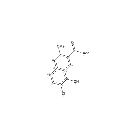 COC(=O)c1cc2c(O)c(Cl)cnc2cc1OC